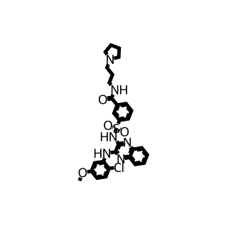 COc1ccc(Cl)c(Nc2nc3ccccc3nc2NS(=O)(=O)c2cccc(C(=O)NCCCN3CCCC3)c2)c1